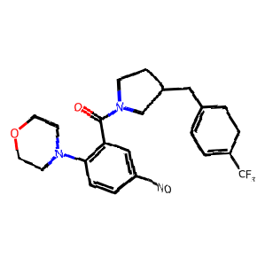 O=Nc1ccc(N2CCOCC2)c(C(=O)N2CCC(CC3=CC=C(C(F)(F)F)CC3)C2)c1